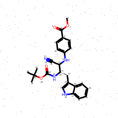 COC(=O)c1ccc(NC(C#N)[C@H](Cc2c[nH]c3ccccc23)NC(=O)OC(C)(C)C)cc1